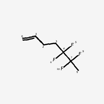 C=CCCC(F)(F)C(C)(F)F